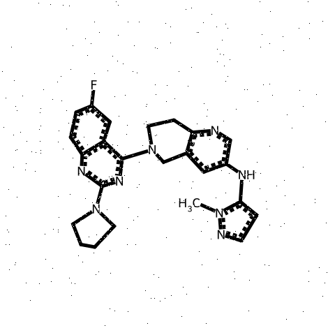 Cn1nccc1Nc1cnc2c(c1)CN(c1nc(N3CCCC3)nc3ccc(F)cc13)CC2